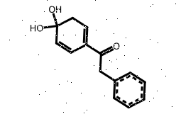 O=C(Cc1ccccc1)C1=CCC(O)(O)C=C1